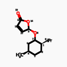 CC(C)[C@@H]1CC[C@@H](C)CC1O[C@H]1C=CC(=O)O1